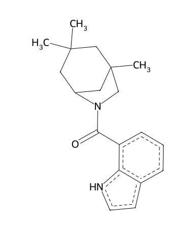 CC1(C)CC2CC(C)(CN2C(=O)c2cccc3cc[nH]c23)C1